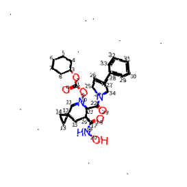 O=C(OC1CCCCC1)ON1CC2(CC2)CC(C(=O)NO)C1C(=O)N1CC=C(c2ccccc2)C1